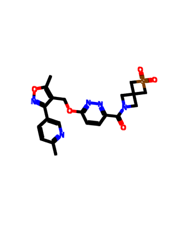 Cc1ccc(-c2noc(C)c2COc2ccc(C(=O)N3CC4(C3)CS(=O)(=O)C4)nn2)cn1